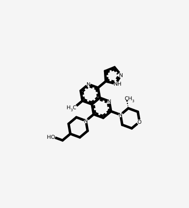 Cc1cnc(-c2ccn[nH]2)c2nc(N3CCOC[C@H]3C)cc(N3CCC(CO)CC3)c12